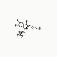 C[C@@H](N[S@@+]([O-])C(C)(C)C)c1nn(COCC[Si](C)(C)C)c(=O)c2cc(F)c(F)cc12